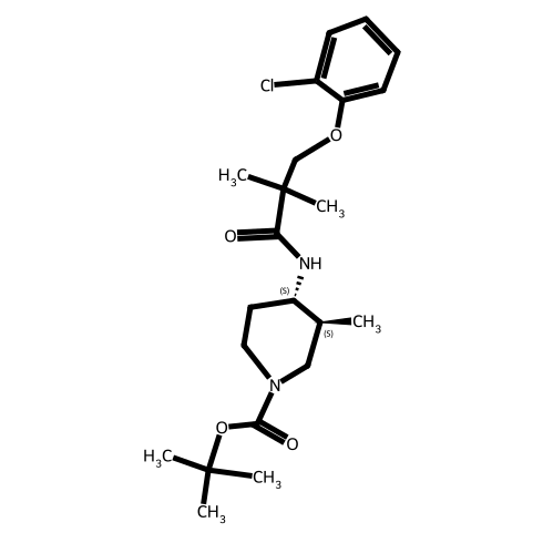 C[C@H]1CN(C(=O)OC(C)(C)C)CC[C@@H]1NC(=O)C(C)(C)COc1ccccc1Cl